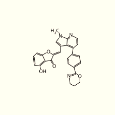 Cn1cc(C=C2Oc3cccc(O)c3C2=O)c2c(-c3ccc(C4=NCCCO4)cc3)ccnc21